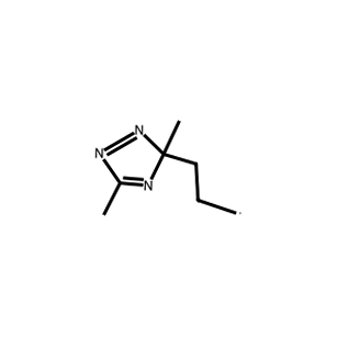 [CH2]CCC1(C)N=NC(C)=N1